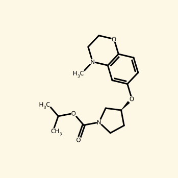 CC(C)OC(=O)N1CC[C@H](Oc2ccc3c(c2)N(C)CCO3)C1